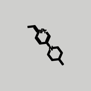 C\C=C/C=C\C(=C/CCC)N1CCC(C)CC1